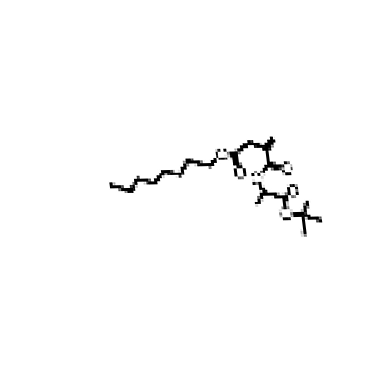 C=C(CC(=O)OCCCCCCCC)C(=O)OC(C)C(=O)OC(C)(C)C